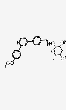 CO[C@@H]1C[C@@H](OC)[C@H](C)O[C@H]1O/N=C/c1ccc(-c2ccnc(-c3ccc(OC(F)(F)F)cc3)c2)cc1